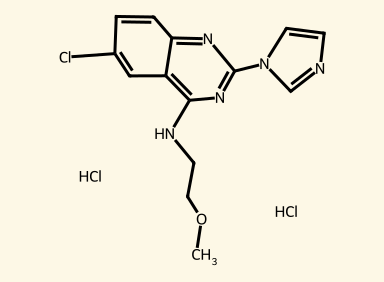 COCCNc1nc(-n2ccnc2)nc2ccc(Cl)cc12.Cl.Cl